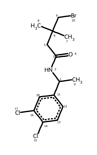 CC(NC(=O)CC(C)(C)CBr)c1ccc(Cl)c(Cl)c1